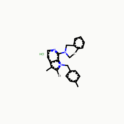 CCc1c(C)c2ccnc(N3CCc4ccccc4C3)c2n1Cc1ccc(C)cc1.Cl